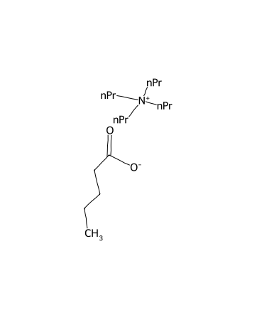 CCCCC(=O)[O-].CCC[N+](CCC)(CCC)CCC